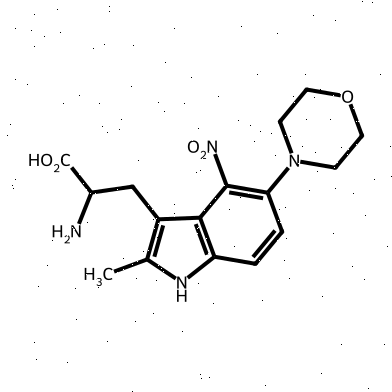 Cc1[nH]c2ccc(N3CCOCC3)c([N+](=O)[O-])c2c1CC(N)C(=O)O